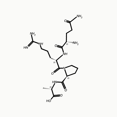 C[C@H](NC(=O)[C@@H]1CCCN1C(=O)[C@H](CCCNC(=N)N)NC(=O)[C@@H](N)CCC(N)=O)C(=O)O